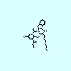 CCCCCCCC(=O)NC1c2ccccc2CC1NC(=O)c1cc(Cl)cc(NC=O)c1O